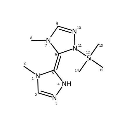 CN1C=NN/C1=C1/N(C)C=NN1[Si](C)(C)C